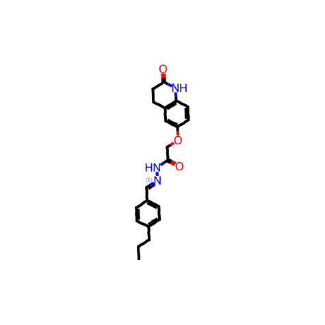 CCCc1ccc(/C=N/NC(=O)COc2ccc3c(c2)CCC(=O)N3)cc1